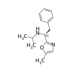 Cc1cnc([C@H](Cc2ccccc2)NC(C)C)o1